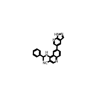 CC(Nc1c(C#N)cnc2ccc(-c3cnc4[nH]ncc4c3)cc12)c1ccccc1